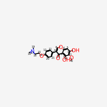 COc1c(O)cc2occ(-c3ccc(OCCN(C)C)cc3)c(=O)c2c1O